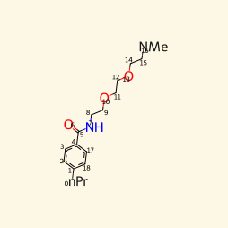 CCCc1ccc(C(=O)NCCOCCOCCNC)cc1